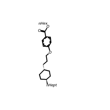 CCCCCCC[C@H]1CC[C@H](CCCOc2ccc(C(=O)OCCCCCC)cc2)CC1